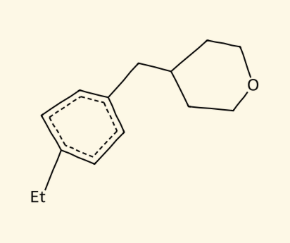 CCc1ccc(CC2CCOCC2)cc1